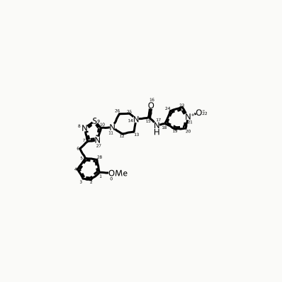 COc1cccc(Cc2nsc(N3CCN(C(=O)Nc4cc[n+]([O-])cc4)CC3)n2)c1